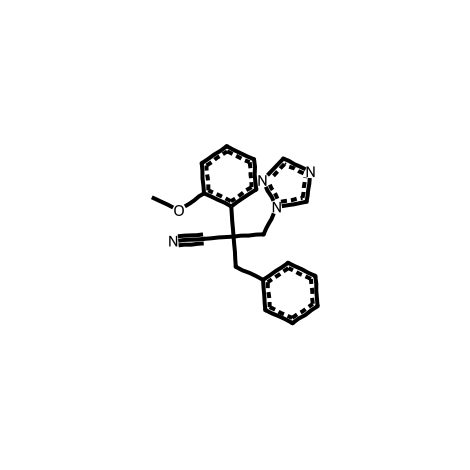 COc1ccccc1C(C#N)(Cc1ccccc1)Cn1cncn1